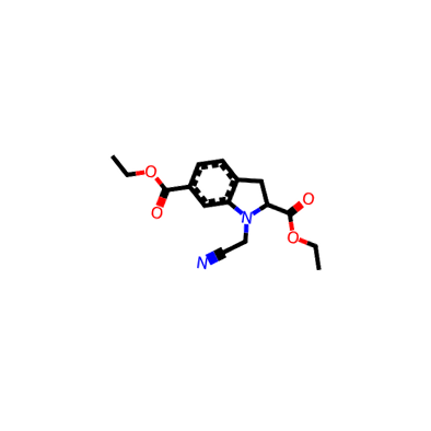 CCOC(=O)c1ccc2c(c1)N(CC#N)C(C(=O)OCC)C2